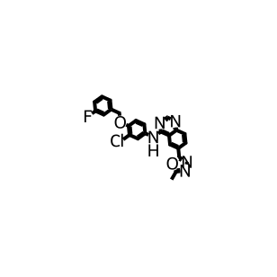 Cc1nnc(-c2ccc3ncnc(Nc4ccc(OCc5cccc(F)c5)c(Cl)c4)c3c2)o1